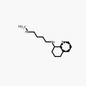 O=C(O)NCCCCNC1CCCc2cccnc21